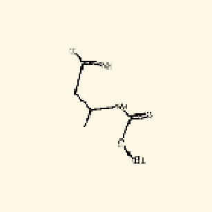 [CH2]CC(=N)CC(C)NC(=O)OC(C)(C)C